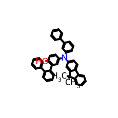 CC1(C)c2ccccc2-c2ccc(N(c3cccc(-c4ccccc4)c3)c3ccc(O)c(-c4ccccc4-c4ccccc4)c3)cc21